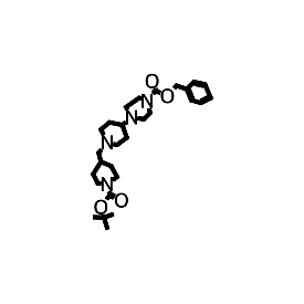 CC(C)(C)OC(=O)N1CCC(CN2CCC(N3CCN(C(=O)OCc4ccccc4)CC3)CC2)CC1